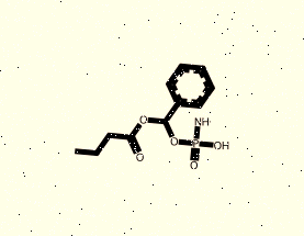 CCCC(=O)OC(OP([NH])(=O)O)c1ccccc1